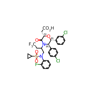 O=C(O)C[C@@H]1O[C@H](c2cccc(Cl)c2)[C@@H](c2ccc(Cl)cc2)N(C(CN(c2ccccc2F)S(=O)(=O)C2CC2)CC(F)(F)F)C1=O